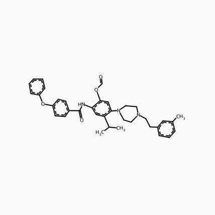 Cc1cccc(CCN2CCN(c3cc(OC=O)c(NC(=O)c4ccc(Oc5ccccc5)cc4)cc3C(C)C)CC2)c1